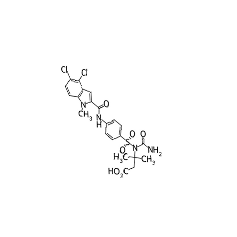 Cn1c(C(=O)Nc2ccc(S(=O)(=O)N(C(N)=O)C(C)(C)CC(=O)O)cc2)cc2c(Cl)c(Cl)ccc21